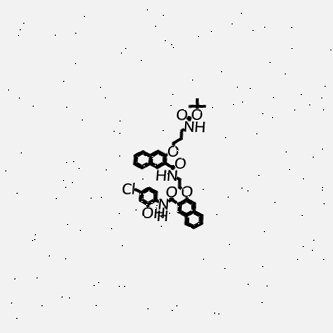 CC(C)(C)OC(=O)NCCCOc1cc2ccccc2cc1C(=O)NCCOc1cc2ccccc2cc1C(=O)Nc1ccc(Cl)cc1O